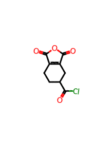 O=C1OC(=O)C2=C1CCC(C(=O)Cl)C2